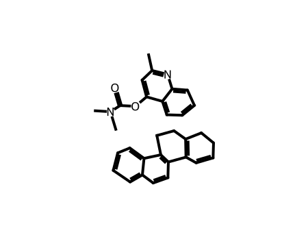 C1=CC2=C(CC1)CCc1c2ccc2ccccc12.Cc1cc(OC(=O)N(C)C)c2ccccc2n1